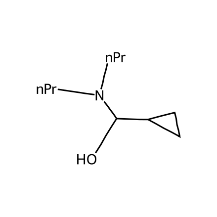 CCCN(CCC)C(O)C1CC1